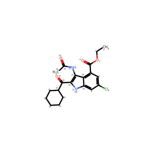 CCOC(=O)c1cc(Cl)cc2[nH]c(C(=O)C3CCCCC3)c(NC(C)=O)c12